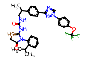 CC(C)c1ccccc1N1C(=O)C[SH]=C1NC(=O)NCC(C)c1ccc(-c2ncn(-c3ccc(OC(F)(F)F)cc3)n2)cc1